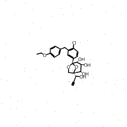 C#CC(O)[C@]12CO[C@@](c3ccc(Cl)c(Cc4ccc(OCC)cc4)c3)(O1)[C@H](O)[C@@H](O)[C@@H]2O